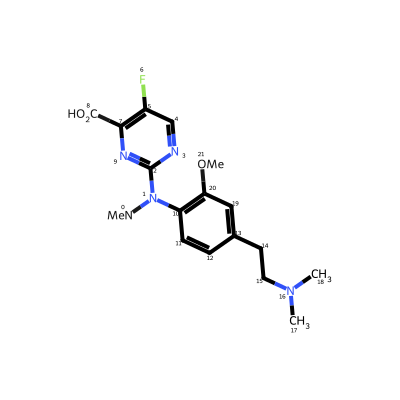 CNN(c1ncc(F)c(C(=O)O)n1)c1ccc(CCN(C)C)cc1OC